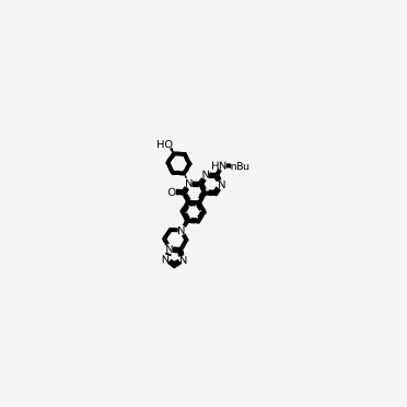 CCCCNc1ncc2c3ccc(N4CCn5ncnc5C4)cc3c(=O)n([C@H]3CC[C@H](O)CC3)c2n1